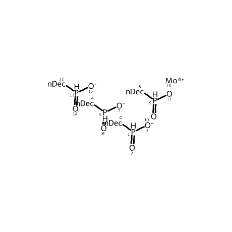 CCCCCCCCCC[PH](=O)[O-].CCCCCCCCCC[PH](=O)[O-].CCCCCCCCCC[PH](=O)[O-].CCCCCCCCCC[PH](=O)[O-].[Mo+4]